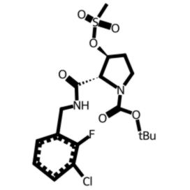 CC(C)(C)OC(=O)N1CC[C@H](OS(C)(=O)=O)[C@H]1C(=O)NCc1cccc(Cl)c1F